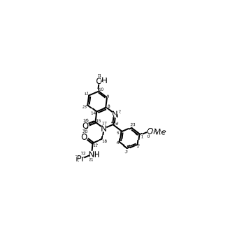 COc1cccc(-c2nc3cc(O)ccc3c(=O)n2CC(=O)NC(C)C)c1